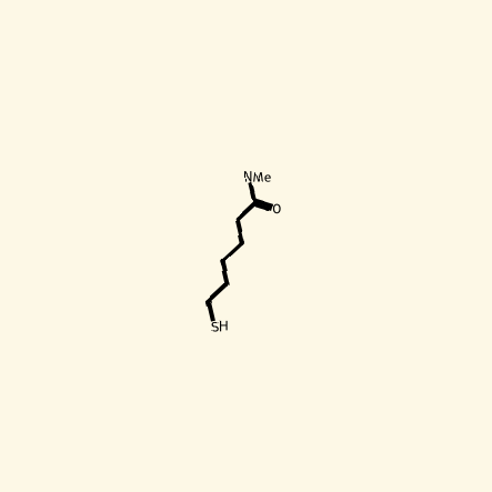 CNC(=O)CCCCCS